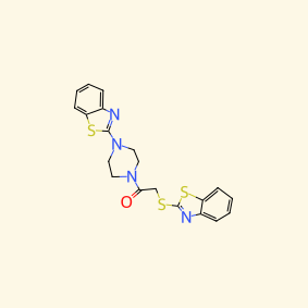 O=C(CSc1nc2ccccc2s1)N1CCN(c2nc3ccccc3s2)CC1